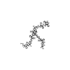 CCCC(C)(C)C(=O)NCC(C)(C)COCCNC(=O)CC[C@H](NC(=O)CC(C)(C)COCCNC(=O)CCN1C(=O)C=CC1=O)C(=O)NCCOCCNC(=O)C(C)(C)CCC(C)(C)C